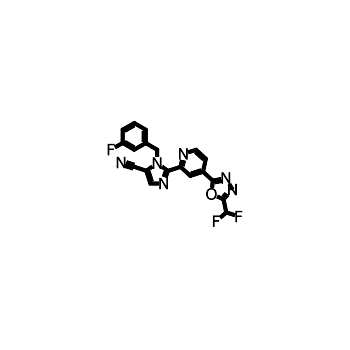 N#Cc1cnc(-c2cc(-c3nnc(C(F)F)o3)ccn2)n1Cc1cccc(F)c1